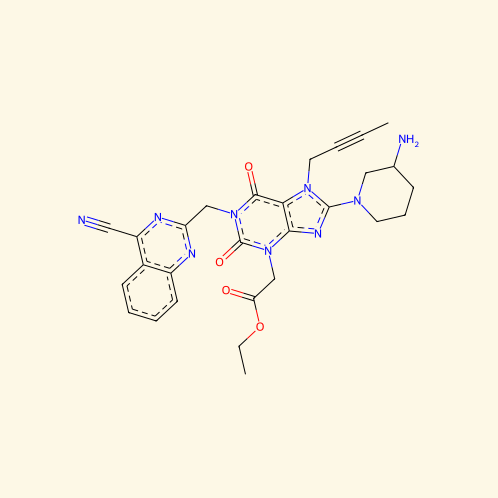 CC#CCn1c(N2CCCC(N)C2)nc2c1c(=O)n(Cc1nc(C#N)c3ccccc3n1)c(=O)n2CC(=O)OCC